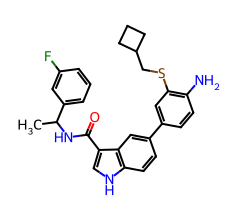 CC(NC(=O)c1c[nH]c2ccc(-c3ccc(N)c(SCC4CCC4)c3)cc12)c1cccc(F)c1